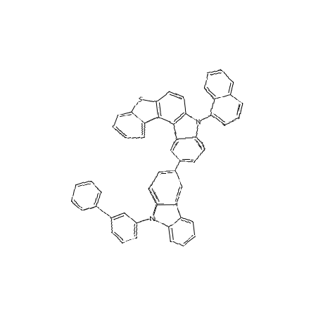 c1ccc(-c2cccc(-n3c4ccccc4c4cc(-c5ccc6c(c5)c5c7c(ccc5n6-c5cccc6ccccc56)sc5ccccc57)ccc43)c2)cc1